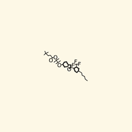 CCCCCc1ccc(-c2cc3ccc(OC(C)(C)C(C)(C)OC(=O)CCC(C)(C)C)cc3o2)c(C(F)(F)F)c1